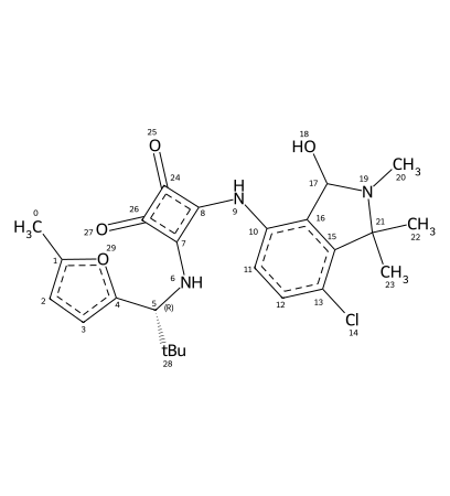 Cc1ccc([C@H](Nc2c(Nc3ccc(Cl)c4c3C(O)N(C)C4(C)C)c(=O)c2=O)C(C)(C)C)o1